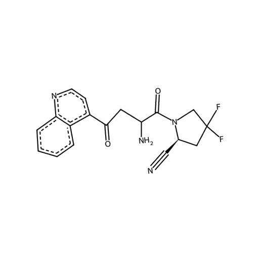 N#C[C@@H]1CC(F)(F)CN1C(=O)C(N)CC(=O)c1ccnc2ccccc12